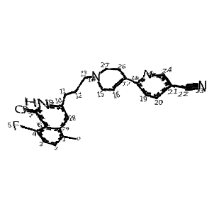 Cc1ccc(F)c2c(=O)[nH]c(CCCN3CC=C(c4ccc(C#N)cn4)CC3)cc12